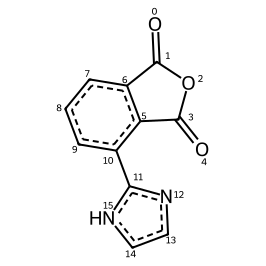 O=C1OC(=O)c2c1cccc2-c1ncc[nH]1